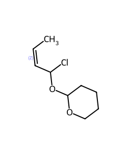 C/C=C\C(Cl)OC1CCCCO1